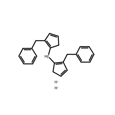 C1=CC(Cc2ccccc2)=[C]([Hf][C]2=C(Cc3ccccc3)C=CC2)C1.[H-].[H-]